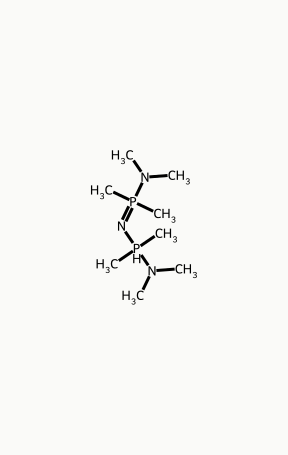 CN(C)P(C)(C)=N[PH](C)(C)N(C)C